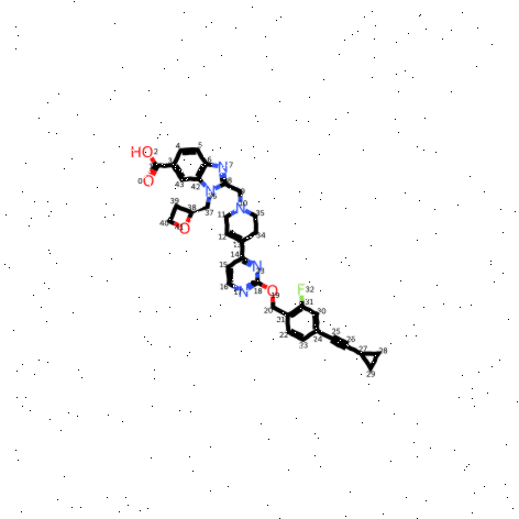 O=C(O)c1ccc2nc(CN3CC=C(c4ccnc(OCc5ccc(C#CC6CC6)cc5F)n4)CC3)n(C[C@@H]3CCO3)c2c1